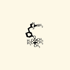 CC(C)(C)[Si](C)(C)Oc1cccc(Cc2cnc(N)s2)c1